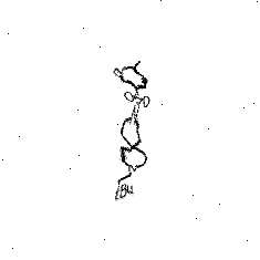 Cc1ccc(S(=O)(=O)N2CCC3(CCN(CCC(C)(C)C)CC3)CC2)cn1